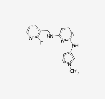 Cn1cc(Nc2nccc(NCc3cccnc3F)n2)cn1